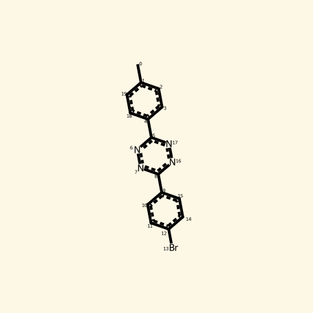 Cc1ccc(-c2nnc(-c3ccc(Br)cc3)nn2)cc1